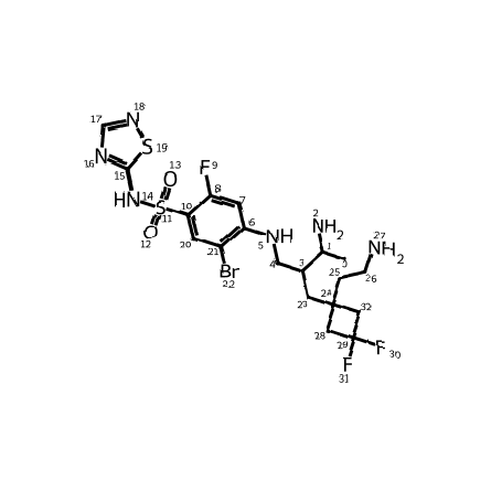 CC(N)C(CNc1cc(F)c(S(=O)(=O)Nc2ncns2)cc1Br)CC1(CCN)CC(F)(F)C1